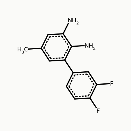 Cc1cc(N)c(N)c(-c2ccc(F)c(F)c2)c1